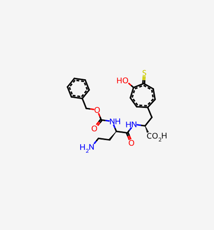 NCC[C@@H](NC(=O)OCc1ccccc1)C(=O)N[C@@H](Cc1ccc(O)c(=S)cc1)C(=O)O